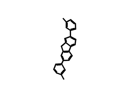 Cc1cccc(-c2ccc3c(c2)Cc2cc(-c4cccc(C)c4)ccc2-3)c1